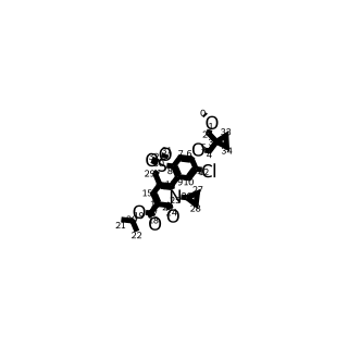 COCC1(COc2cc3c(cc2Cl)-c2c(cc(C(=O)OC(C)C)c(=O)n2C2CC2)CS3(=O)=O)CC1